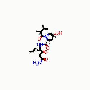 CCC[C@H](NC(=O)[C@@H]1C[C@@H](O)CN1C(=O)[C@@H](C)C(C)C)C(=O)CC(N)=O